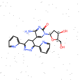 Nc1nc(=O)n([C@H]2C[C@@H](O)[C@@H](CO)O2)cc1C1CC(c2ccccn2)=NN=C1c1ccccn1